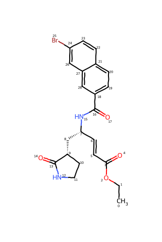 CCOC(=O)C=C[C@H](C[C@@H]1CCNC1=O)NC(=O)c1ccc2ccc(Br)cc2c1